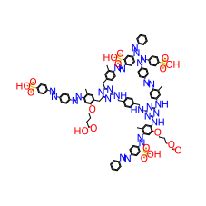 Cc1cc(Nc2nc(NCc3ccc(CNc4nc(Cc5ccc(N=Nc6ccc(N=Nc7ccccc7)cc6S(=O)(=O)O)c(C)c5)nc(Cc5cc(C)c(N=Nc6ccc(N=Nc7ccc(S(=O)(=O)O)cc7)cc6)cc5OCCCC(=O)O)n4)cc3)nc(Nc3cc(C)c(N=Nc4ccc(N=Nc5ccccc5)cc4S(=O)(=O)O)cc3OCCCOC=O)n2)ccc1N=Nc1ccc(N=Nc2ccc(S(=O)(=O)O)cc2)cc1